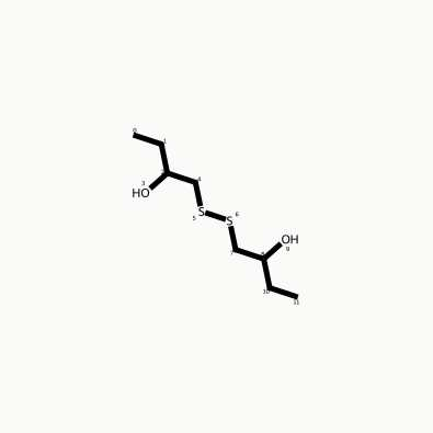 CCC(O)CSSCC(O)CC